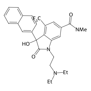 CCN(CC)CCN1C(=O)C(O)(c2ccc3ccccc3c2)c2c1cc(C(=O)NC)cc2C(F)(F)F